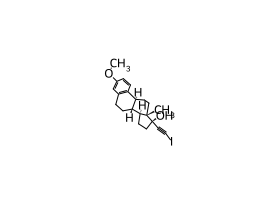 COc1ccc2c(c1)CC[C@@H]1[C@@H]2CC[C@@]2(C)[C@H]1CC[C@@]2(O)C#CI